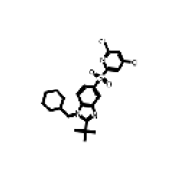 CC(C)(C)c1nc2cc(S(=O)(=O)c3cc(Cl)cc(Cl)n3)ccc2n1CC1CCCCC1